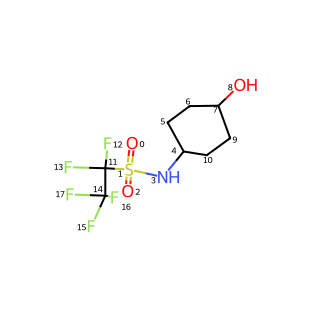 O=S(=O)(NC1CCC(O)CC1)C(F)(F)C(F)(F)F